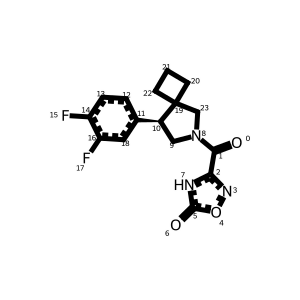 O=C(c1noc(=O)[nH]1)N1C[C@@H](c2ccc(F)c(F)c2)C2(CCC2)C1